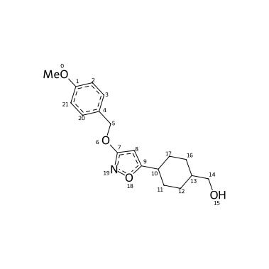 COc1ccc(COc2cc(C3CCC(CO)CC3)on2)cc1